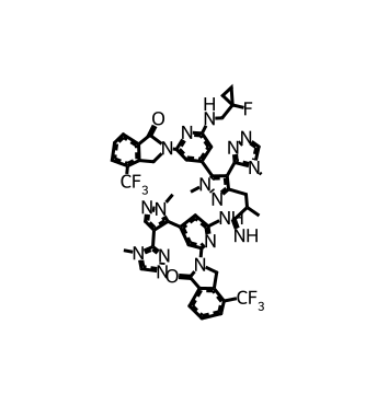 CC(Cc1nn(C)c(-c2cc(NCC3(F)CC3)nc(N3Cc4c(cccc4C(F)(F)F)C3=O)c2)c1-c1nncn1C)C(=N)Nc1cc(-c2c(-c3nncn3C)cnn2C)cc(N2Cc3c(cccc3C(F)(F)F)C2=O)n1